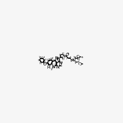 COCCN(C/C=C/C(=O)N1CCC(n2nc(-c3ccc(Oc4ccccc4)cc3)c3c(N)ncnc32)C1)CCOC